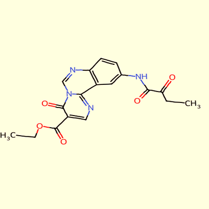 CCOC(=O)c1cnc2c3cc(NC(=O)C(=O)CC)ccc3ncn2c1=O